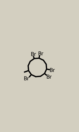 CC1CCC(Br)C(Br)CCC(Br)C(Br)CCC1Br